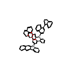 C1=CC(N(c2ccccc2-c2cc(-c3ccccc3)cc(-n3c4ccccc4c4cc5ccccc5cc43)c2)c2ccc(-c3cccc4ccccc34)c3ccccc23)=CC(c2cccc3ccccc23)C1